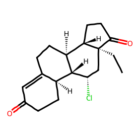 CC[C@]12C[C@H](Cl)[C@H]3[C@@H](CCC4=CC(=O)CC[C@@H]43)[C@@H]1CCC2=O